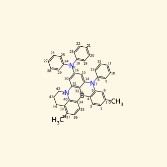 Cc1ccc2c(c1)N(c1ccccc1)c1cc(N(c3ccccc3)c3ccccc3)cc3c1B2c1ccc(C)c2c1N3CCC2